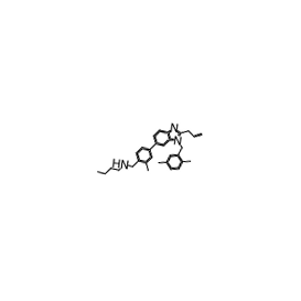 C=CCc1nc2ccc(-c3ccc(CNCCCC)c(C)c3)cc2n1Cc1cc(C)ccc1C